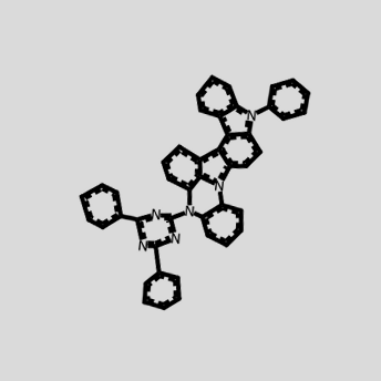 c1ccc(-c2nc(-c3ccccc3)nc(N3c4ccccc4-n4c5ccc6c(c7ccccc7n6-c6ccccc6)c5c5cccc3c54)n2)cc1